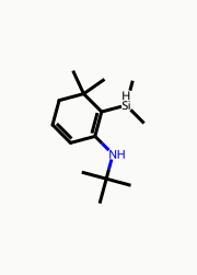 C[SiH](C)C1=C(NC(C)(C)C)C=CCC1(C)C